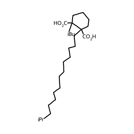 CCC(C)C1(C(=O)O)CCCCC1(CCCCCCCCCCCCC(C)C)C(=O)O